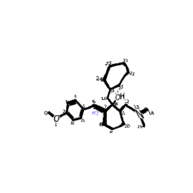 COc1ccc(/C=C2\CCCC(CN(C)C)C2(O)CC2CCCCC2)cc1